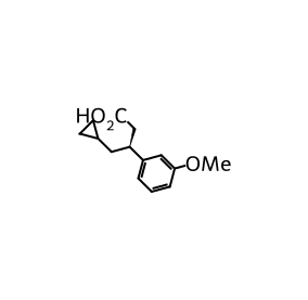 COc1cccc([C@H](CC(=O)O)CC2CC2)c1